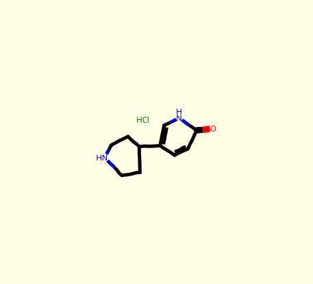 Cl.O=c1ccc(C2CCNCC2)c[nH]1